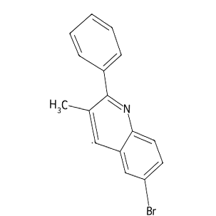 Cc1[c]c2cc(Br)ccc2nc1-c1ccccc1